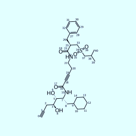 C#CC[C@H](O)[C@H](O)[C@@H](CC1CCCCC1)NC(=O)C#CCCNC(=O)[C@@H](Cc1ccccc1)CS(=O)(=O)CC(C)C